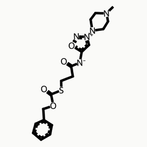 CN1CCN([n+]2cc([N-]C(=O)CCSC(=O)OCc3ccccc3)on2)CC1